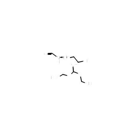 CCCC.CCOC(C)OCC.CNC=O